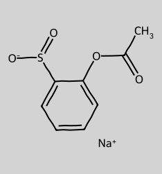 CC(=O)Oc1ccccc1S(=O)[O-].[Na+]